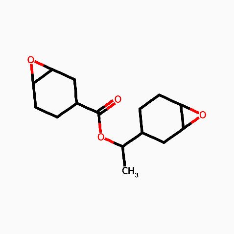 CC(OC(=O)C1CCC2OC2C1)C1CCC2OC2C1